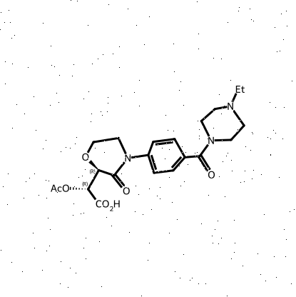 CCN1CCN(C(=O)c2ccc(N3CCO[C@H]([C@@H](OC(C)=O)C(=O)O)C3=O)cc2)CC1